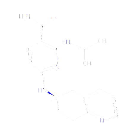 CC(C)Nc1nc(N[C@@H]2CCc3ncccc3C2)ccc1C(N)=O